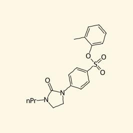 CCCN1CCN(c2ccc(S(=O)(=O)Oc3ccccc3C)cc2)C1=O